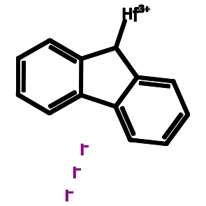 [Hf+3][CH]1c2ccccc2-c2ccccc21.[I-].[I-].[I-]